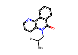 CCCCC(CC)Cn1c(=O)c2ccccc2c2ncccc21